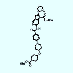 CN1CCC[C@@H]1c1cc2cnc(NC(=O)c3ccc(N4CCC(OC5CCN(C(=O)OC(C)(C)C)CC5)CC4)cc3)cc2n1C(=O)OC(C)(C)C